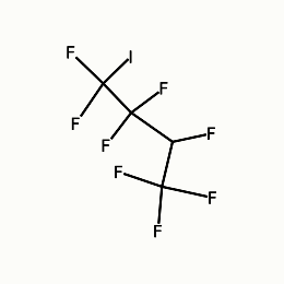 FC(C(F)(F)F)C(F)(F)C(F)(F)I